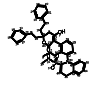 CCCc1c(C2=C(O)CC(CCc3ccccc3)(CCc3ccccc3)OC2=O)cccc1N1C(S(=O)(=O)NC)=CCc2ccccc21